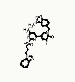 Cc1cc(-c2cc(F)c(=O)n(Cc3ccc4nnn(C)c4c3)c2)nc(S(=O)(=O)CCCn2cnc3ccccc32)n1